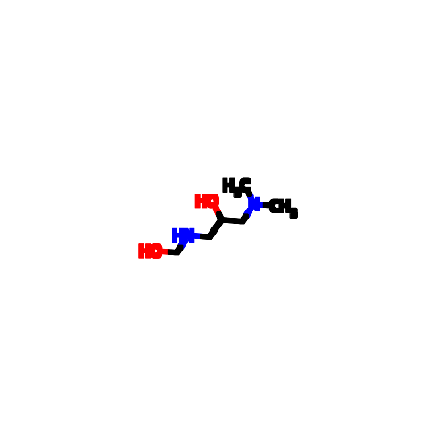 CN(C)CC(O)CNCO